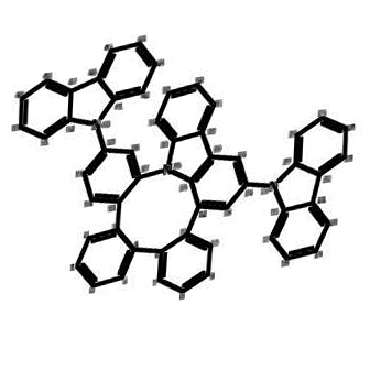 c1ccc2c(c1)c1ccccc1c1cc(-n3c4ccccc4c4ccccc43)cc3c4ccccc4n(c4cc(-n5c6ccccc6c6ccccc65)ccc24)c13